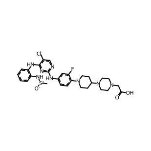 C[S+]([O-])Nc1ccccc1Nc1nc(Nc2ccc(N3CCC(N4CCN(CC(=O)O)CC4)CC3)c(F)c2)ncc1Cl